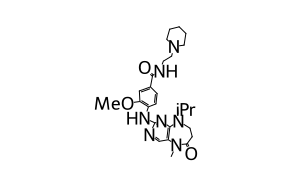 COc1cc(C(=O)NCCN2CCCCC2)ccc1Nc1ncc2c(n1)N(C(C)C)CCC(=O)N2C